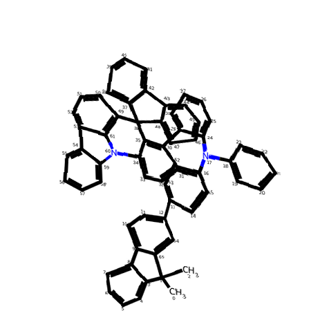 CC1(C)c2ccccc2-c2ccc(-c3ccc(N(c4ccccc4)c4ccccc4-c4cccc5c4C4(c6ccccc6-c6ccccc64)c4cccc6c7ccccc7n-5c46)cc3)cc21